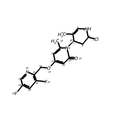 CC1=CNC(Cl)C[C@H]1n1c(C)cc(OCc2ncc(F)cc2F)cc1=O